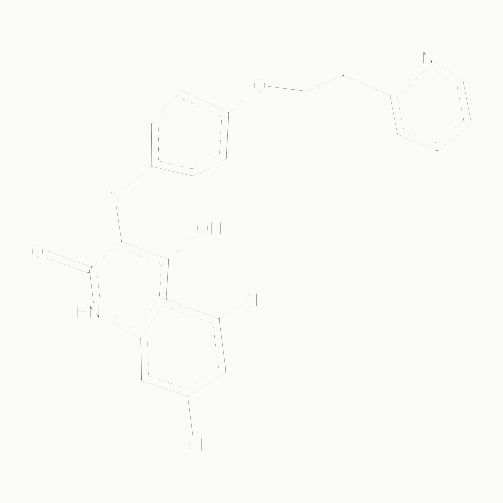 O=c1[nH]c2cc(Cl)cc(Cl)c2c(O)c1Sc1ccc(OCCc2ccccn2)cc1